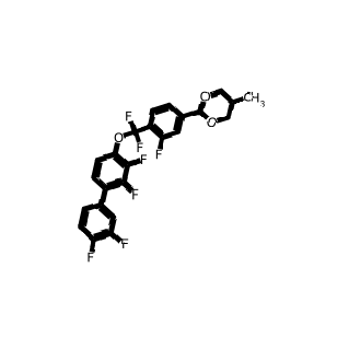 CC1COC(c2ccc(C(F)(F)Oc3ccc(-c4ccc(F)c(F)c4)c(F)c3F)c(F)c2)OC1